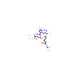 CCC(C)C(C(CC(=O)N1CCCC1C(OC)C(C)C(=O)NCC(=O)OC)OC)N(C)C(=O)C1CC(N)CN1C(=O)C(C(C)C)N(C)C